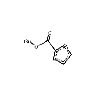 CC(C)(C)OC(=O)c1[c]ccs1